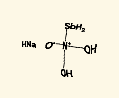 [NaH].[O-][N+](O)(O)[SbH2]